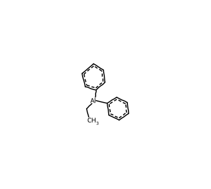 C[CH2][Al]([c]1ccccc1)[c]1ccccc1